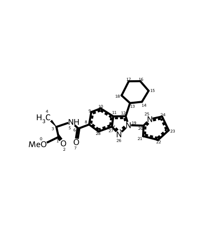 COC(=O)[C@@H](C)NC(=O)c1ccc2c(C3CCCCC3)n(-c3ccccn3)nc2c1